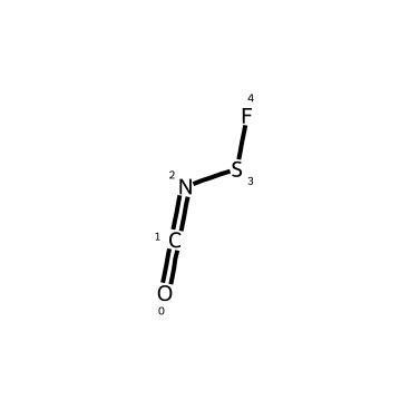 O=C=NSF